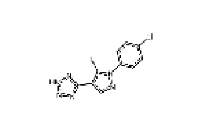 Clc1ccc(-n2ncc(-c3nn[nH]n3)c2I)cc1